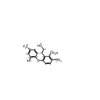 O=C(O)c1c([N+](=O)[O-])ccc(Oc2ccc(C(F)(F)F)cc2Cl)c1CCO